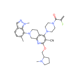 C=C(F)C(=O)N1CCN(c2c(C#N)c(OCC3CCCN3C)nc3c2CCN(c2c(C)ccc4cnn(C)c24)C3)CC1